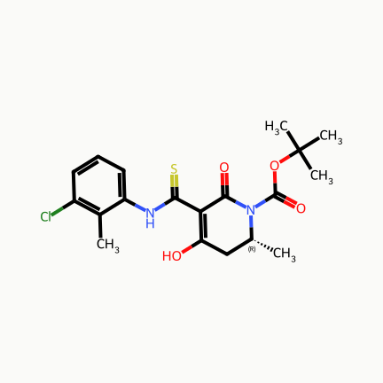 Cc1c(Cl)cccc1NC(=S)C1=C(O)C[C@@H](C)N(C(=O)OC(C)(C)C)C1=O